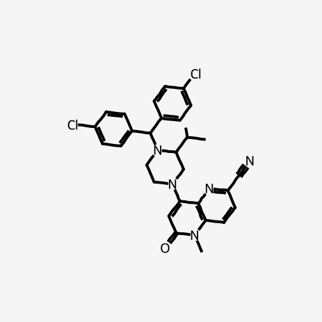 CC(C)C1CN(c2cc(=O)n(C)c3ccc(C#N)nc23)CCN1C(c1ccc(Cl)cc1)c1ccc(Cl)cc1